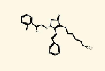 Cc1ccccc1C(O)CO[C@@H]1CC(=O)C(CCCCCCC(=O)O)=C1C=Cc1ccccc1